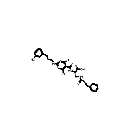 Cc1nc(NCCCc2cccc(O)c2)nc(C)c1C(=O)N[C@@H](CNC(=O)OCc1ccccc1)C(=O)O